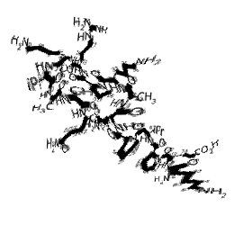 CC(C)[C@H](NC(=O)[C@H](CCCCN)NC(=O)[C@H](CCCNC(=N)N)NC(=O)[C@@H]1CCCN1C(=O)[C@H](CCCCN)NC(=O)[C@H](C)NC(=O)[C@@H](CCC(N)=O)NC(=O)[C@@H]1CCCN1C(=O)[C@@H](NC(=O)[C@@H]1CCCN1C(=O)[C@H](CCC(=O)O)NC(=O)[C@@H](N)CCCCN)C(C)C)C(=O)N[C@@H](C)C(=O)N[C@@H](C)C(=O)N[C@@H](CCC(N)=O)C(=O)O